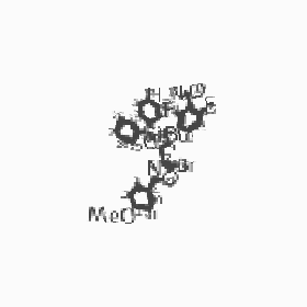 COc1ccc(-c2nc(C(COc3ccc(F)c(C(N)=O)c3F)O[Si](c3ccccc3)(c3ccccc3)C(C)(C)C)c(Br)o2)cc1